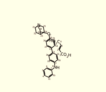 O=C(O)/C=C/C(=O)O.c1ccc(Nc2ccc(-c3ccc(OC4CN5CCC4CC5)cc3)cc2)cc1